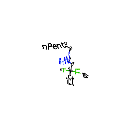 CCCCCCNCC(F)(F)CC